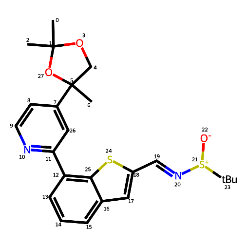 CC1(C)OCC(C)(c2ccnc(-c3cccc4cc(C=N[S+]([O-])C(C)(C)C)sc34)c2)O1